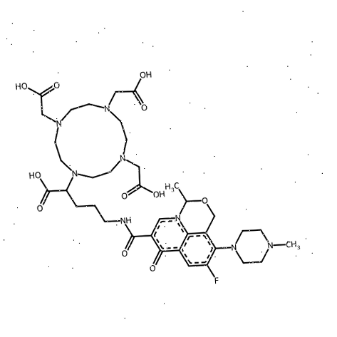 CC1OCc2c(N3CCN(C)CC3)c(F)cc3c(=O)c(C(=O)NCCCC(C(=O)O)N4CCN(CC(=O)O)CCN(CC(=O)O)CCN(CC(=O)O)CC4)cn1c23